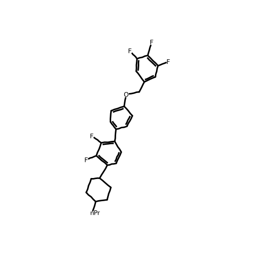 CCCC1CCC(c2ccc(-c3ccc(OCc4cc(F)c(F)c(F)c4)cc3)c(F)c2F)CC1